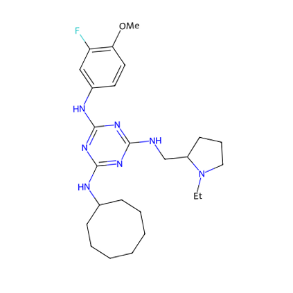 CCN1CCCC1CNc1nc(Nc2ccc(OC)c(F)c2)nc(NC2CCCCCCC2)n1